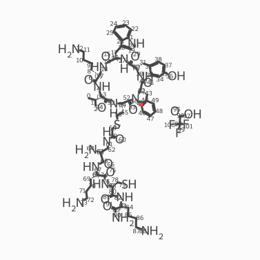 CC(C)[C@@H]1NC(=O)[C@H](CCCCN)NC(=O)[C@@H](Cc2c[nH]c3ccccc23)NC(=O)[C@H](Cc2ccc(O)cc2)NC(=O)[C@H](Cc2ccccc2)N(C)C(=O)[C@H](CCSCC(=O)NC[C@H](N)C(=O)N[C@@H](CCCCN)C(=O)N[C@@H](CS)C(=O)N[C@@H](CCCCN)C(N)=O)NC1=O.O=C(O)C(F)(F)F